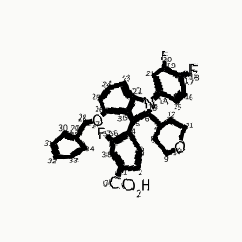 O=C(O)c1ccc(-c2c(C3CCOCC3)n(-c3ccc(F)c(F)c3)c3cccc(OCc4ccccc4)c23)c(F)c1